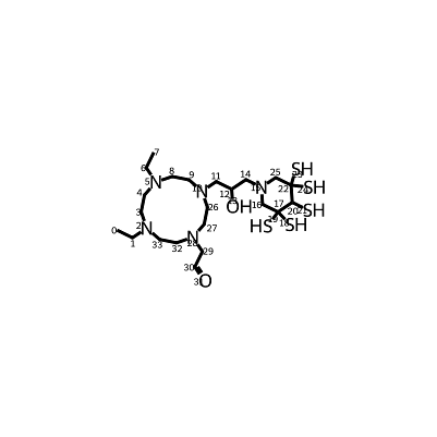 CCN1CCN(CC)CCN(CC(O)CN2CC(S)(S)C(S)C(S)(S)C2)CCN(CC=O)CC1